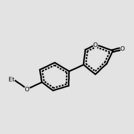 CCOc1ccc(-c2ccc(=O)oc2)cc1